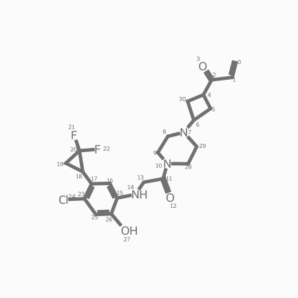 C=CC(=O)C1CC(N2CCN(C(=O)CNc3cc(C4CC4(F)F)c(Cl)cc3O)CC2)C1